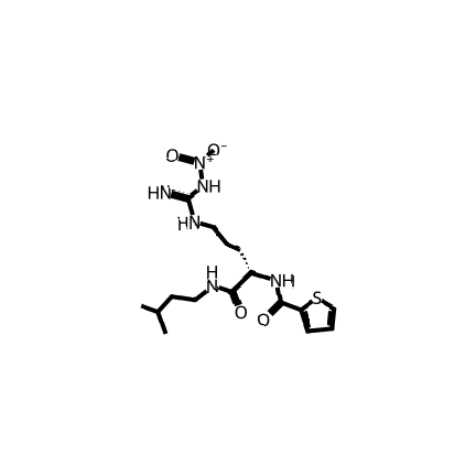 CC(C)CCNC(=O)[C@H](CCCNC(=N)N[N+](=O)[O-])NC(=O)c1cccs1